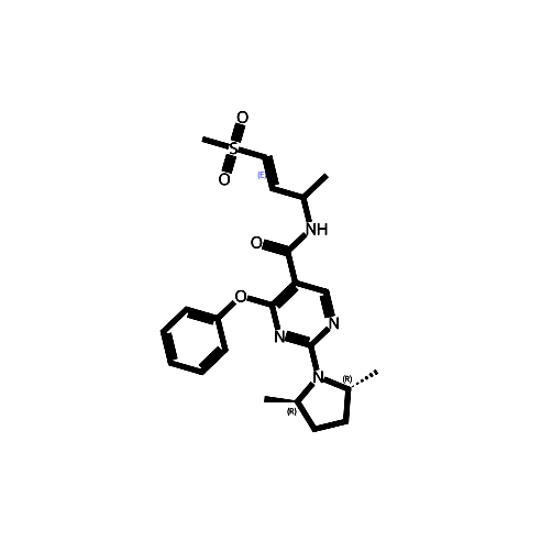 CC(/C=C/S(C)(=O)=O)NC(=O)c1cnc(N2[C@H](C)CC[C@H]2C)nc1Oc1ccccc1